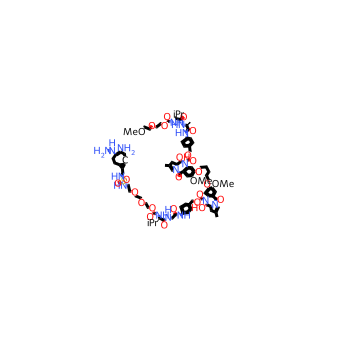 COCCOCCOC(=O)N[C@H](C(=O)N[C@@H](C)C(=O)Nc1ccc(COC(=O)N2c3cc(OCCCCCOc4cc5c(cc4OC)C(=O)N4C=C(C)CC4C(O)N5C(=O)OCc4ccc(NC(=O)CNC(=O)[C@@H](NC(=O)OCCOCCOCCNS(=O)(=O)NCC5C6CC/C(N)=C(/NN)CCC65)C(C)C)cc4)c(OC)cc3C(=O)N3C=C(C)CC3C2O)cc1)C(C)C